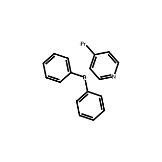 CC(C)c1ccncc1.[B](c1ccccc1)c1ccccc1